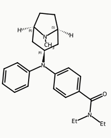 CCN(CC)C(=O)c1ccc(N(c2ccccc2)[C@H]2C[C@H]3CC[C@@H](C2)N3C)cc1